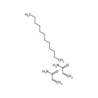 C=CC(N)=O.C=CC(N)=O.CCCCCCCCCCCC